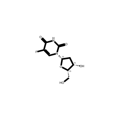 O=c1[nH]c(=O)n([C@@H]2C[C@H](O)[C@H](CO)O2)cc1F